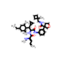 C=C/C=C(\NC)C(=O)NC(C(=O)Nc1cccc(C2(C(=O)NCC3(C)CCC3)CCOC2)c1)C(C1CC1)C1C(=C)CC(CC)CC1C